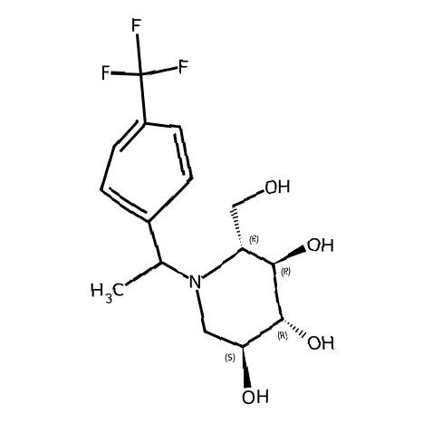 CC(c1ccc(C(F)(F)F)cc1)N1C[C@H](O)[C@@H](O)[C@H](O)[C@H]1CO